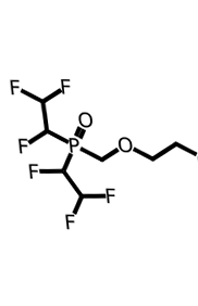 O=P(COCCCl)(C(F)C(F)F)C(F)C(F)F